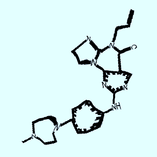 C=CCN1C(=O)c2cnc(Nc3ccc(N4CCN(C)CC4)cc3)nc2N2CCN=C12